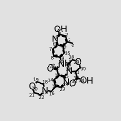 Cc1cc(O)nc2ccc(NC(=O)c3cc(CN4CCOCC4)cnc3N3CCOCC3C(=O)O)cc12